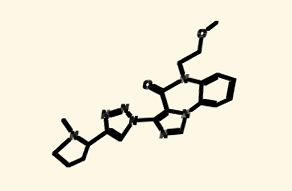 COCCn1c(=O)c2c(-n3cc(C4CCCN4C)nn3)ncn2c2ccccc21